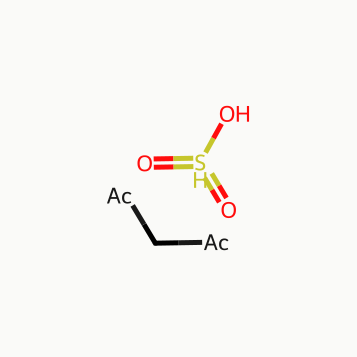 CC(=O)CC(C)=O.O=[SH](=O)O